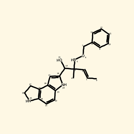 CC=CC(C)(BOCc1ccccc1)C(O)c1cc2c3c(ccc2[nH]1)NCC3